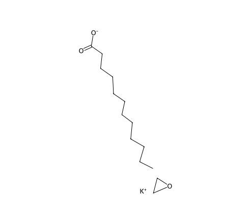 C1CO1.CCCCCCCCCCCC(=O)[O-].[K+]